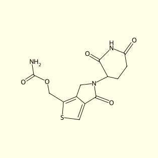 NC(=O)OCc1scc2c1CN(C1CCC(=O)NC1=O)C2=O